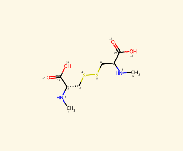 CN[C@@H](CSSC[C@H](NC)C(=O)O)C(=O)O